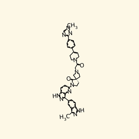 Cc1n[nH]c2ccc(-c3n[nH]c4ccc(N5CC[C@]6(CCN(CC(=O)N7CC=C(c8ccc(-c9ncn(C)n9)cc8)CC7)C6)C5=O)nc34)cc12